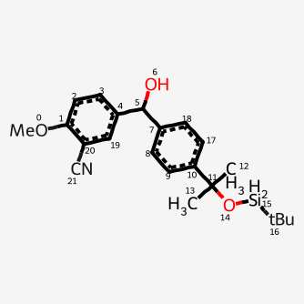 COc1ccc(C(O)c2ccc(C(C)(C)O[SiH2]C(C)(C)C)cc2)cc1C#N